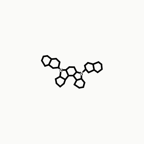 C1CCC2CC(N3C4CCCCC4C4C5C6CCCCC6N(C6CCC7CCCCC7C6)C5CCC43)CCC2C1